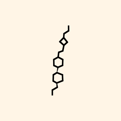 CCCC1CC(CCC2CCC([C@H]3CC[C@H](CCC)CC3)CC2)C1